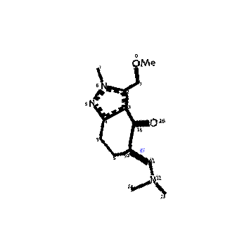 COCc1c2c(nn1C)CC/C(=C\N(C)C)C2=O